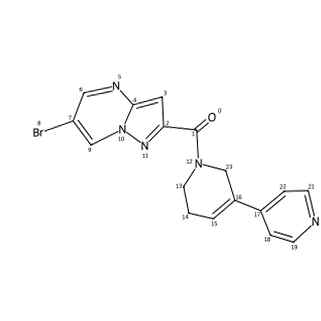 O=C(c1cc2ncc(Br)cn2n1)N1CCC=C(c2ccncc2)C1